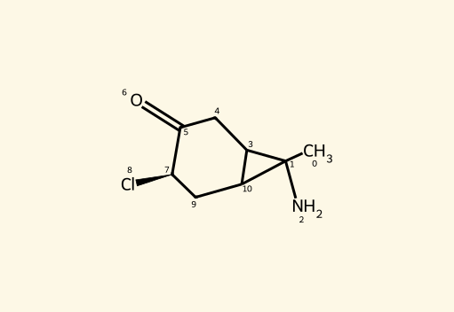 CC1(N)C2CC(=O)[C@H](Cl)CC21